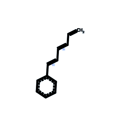 C=C/C=C/C=C/c1ccccc1